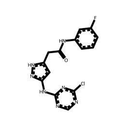 O=C(Cc1cc(Nc2ncnc(Cl)n2)n[nH]1)Nc1cccc(F)c1